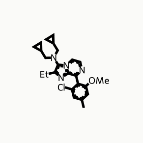 CCc1nc2c(-c3c(Cl)cc(C)cc3OC)nccn2c1N(CC1CC1)CC1CC1